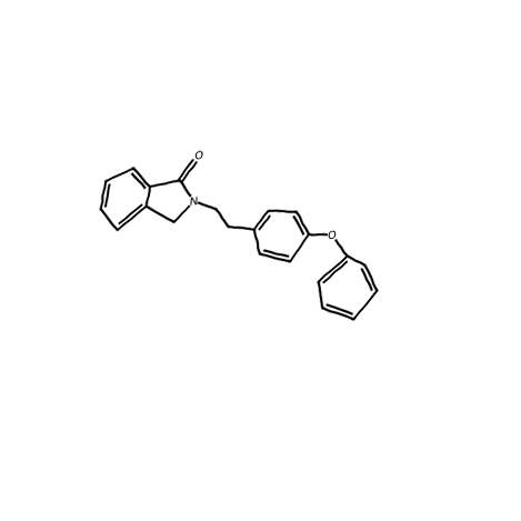 O=C1c2ccccc2CN1CCc1ccc(Oc2ccccc2)cc1